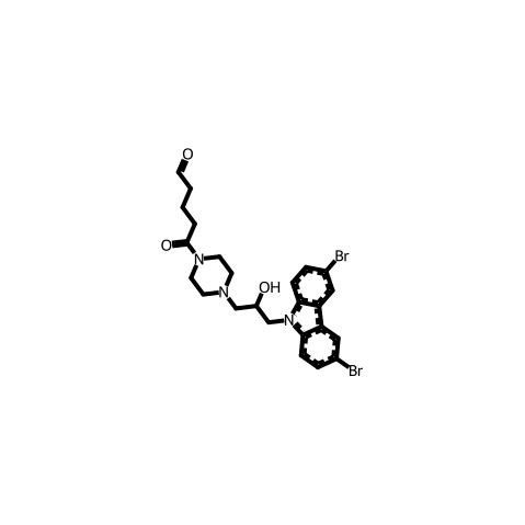 O=CCCCC(=O)N1CCN(CC(O)Cn2c3ccc(Br)cc3c3cc(Br)ccc32)CC1